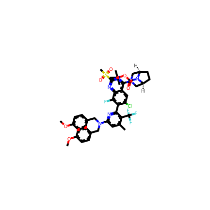 COc1ccc(CN(Cc2ccc(OC)cc2)c2cc(C)c(C(F)(F)F)c(-c3c(Cl)cc4c(N5C[C@H]6CC[C@@H](C5)N6C(=O)OC(C)(C)C)nc(S(C)(=O)=O)nc4c3F)n2)cc1